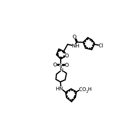 O=C(O)c1cccc(NC2CCN(S(=O)(=O)c3ccc(CNC(=O)c4ccc(Cl)cc4)o3)CC2)c1